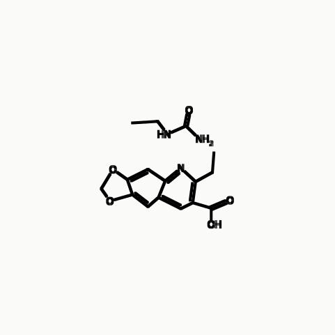 CCNC(N)=O.CCc1nc2cc3c(cc2cc1C(=O)O)OCO3